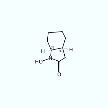 O=C1C[C@@H]2CCCC[C@@H]2N1O